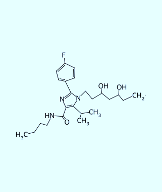 [CH2]CC(O)CC(O)CCn1c(-c2ccc(F)cc2)nc(C(=O)NCCCC)c1C(C)C